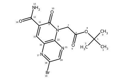 CC(C)(C)OC(=O)Cn1c(=O)c(C(N)=O)cc2nc(Br)cnc21